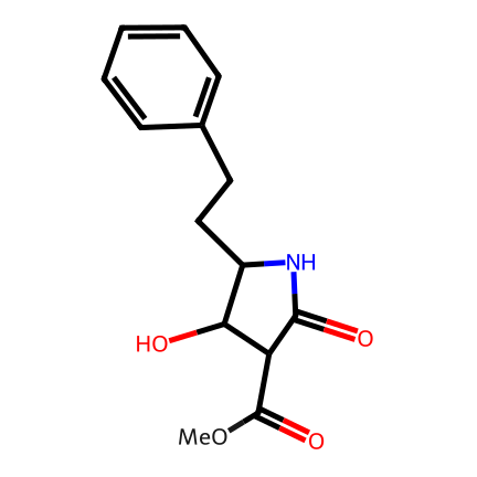 COC(=O)C1C(=O)NC(CCc2ccccc2)C1O